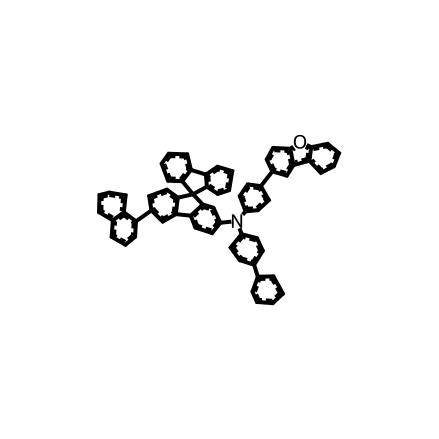 c1ccc(-c2ccc(N(c3ccc(-c4ccc5oc6ccccc6c5c4)cc3)c3ccc4c(c3)C3(c5ccccc5-c5ccccc53)c3ccc(-c5cccc6ccccc56)cc3-4)cc2)cc1